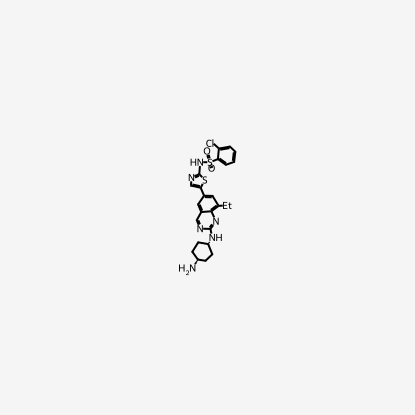 CCc1cc(-c2cnc(NS(=O)(=O)c3ccccc3Cl)s2)cc2cnc(N[C@H]3CC[C@H](N)CC3)nc12